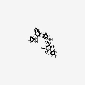 CCn1cc(OC(=O)Nc2ccc(Oc3cc(Nc4ccccn4)cn4nccc34)c(F)c2)c(=O)n(-c2ccc(F)cc2)c1=O